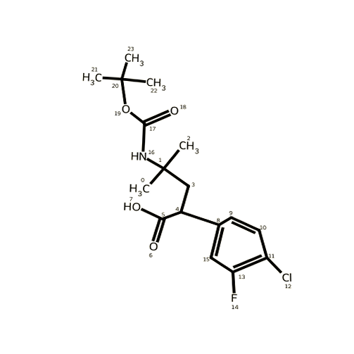 CC(C)(CC(C(=O)O)c1ccc(Cl)c(F)c1)NC(=O)OC(C)(C)C